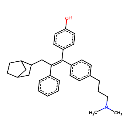 CN(C)CCCc1ccc(/C(=C(/CC2CC3CCC2C3)c2ccccc2)c2ccc(O)cc2)cc1